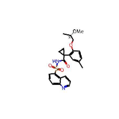 CO[C@@H](C)COc1ccc(C)cc1C1(C(=O)NS(=O)(=O)c2cccc3ncccc23)CC1